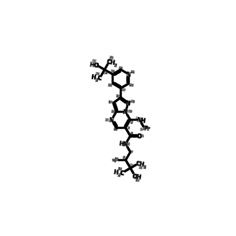 CC(C)Nc1c(C(=O)NCC(F)C(C)(C)O)cnc2cc(-c3cncc(C(C)(C)O)c3)nn12